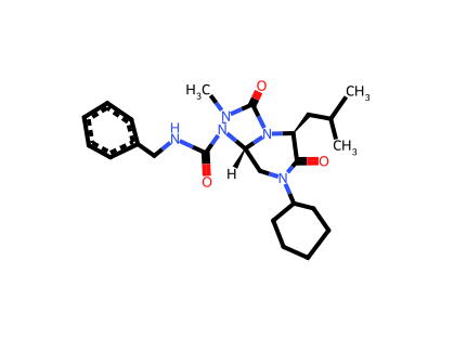 CC(C)C[C@H]1C(=O)N(C2CCCCC2)C[C@H]2N1C(=O)N(C)N2C(=O)NCc1ccccc1